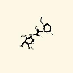 CNc1c(NC(=O)C(=O)N2C[C@@H](C)CC[C@@H]2CI)cnc(N)c1C=N